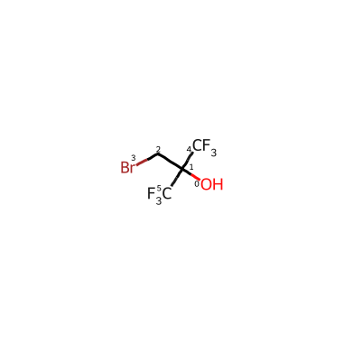 OC(CBr)(C(F)(F)F)C(F)(F)F